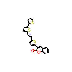 O=c1oc2ccccc2cc1-c1ccc(/C=C/c2ccc(-c3cccs3)s2)s1